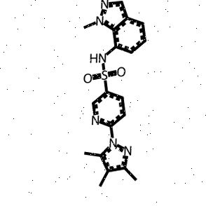 Cc1nn(-c2ccc(S(=O)(=O)Nc3cccc4cnn(C)c34)cn2)c(C)c1C